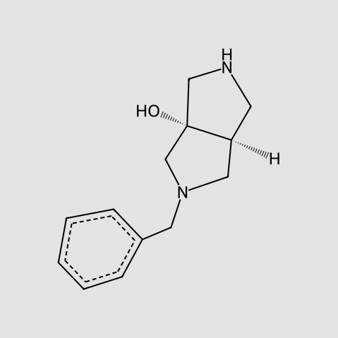 O[C@]12CNC[C@H]1CN(Cc1ccccc1)C2